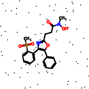 CN(O)C(=O)CCc1nc(-c2ccccc2S(C)(=O)=O)c(-c2ccccc2)o1